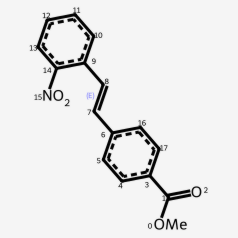 COC(=O)c1ccc(/C=C/c2ccccc2[N+](=O)[O-])cc1